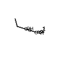 CCCCCCCC/C=C\CCCCCCCCOC[C@@H](O)COCCCCCCO[C@H]1CC[C@@]2(C)C(=CC[C@@H]3C2CC[C@@]2(C)C3CC[C@@H]2[C@H](C)CCC(C)C)C1